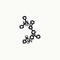 O=c1c2ccccc2oc2nc3cc4c(cc3n12)c1cc(-c2ccc3c(c2)c2ccccc2n3-c2nc(-c3ccccc3)nc(-c3ccccc3)n2)ccc1n4-c1ccccc1